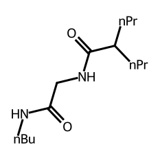 CCCCNC(=O)CNC(=O)C(CCC)CCC